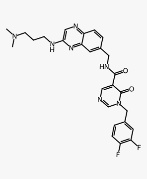 CN(C)CCCNc1cnc2ccc(CNC(=O)c3cncn(Cc4ccc(F)c(F)c4)c3=O)cc2n1